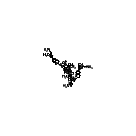 C[n+]1cc(-c2ccc3c(c2)CC[C@H](CO/N=C(\C(=O)N[C@@H]2C(=O)N(OS(=O)(=O)ON4C(=O)[C@@H](NC(=O)/C(=N\OC[C@H]5CCc6cc(-c7cn(CCCN)[n+](C)c7)ccc6O5)c5csc(N)n5)C4(C)C)C2(C)C)c2csc(N)n2)O3)cn1CCCN